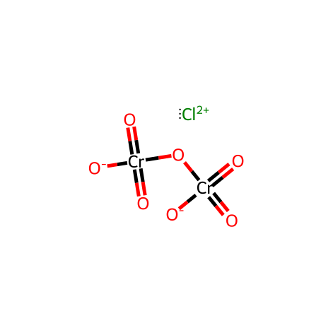 [Cl+2].[O]=[Cr](=[O])([O-])[O][Cr](=[O])(=[O])[O-]